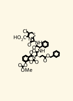 COC(=O)Oc1cccc2c(=O)n([C@@H](CCC(=O)OCc3ccccc3)C(=O)N[C@@H](C(=O)N[C@@H]3C(=O)N4C(C(=O)O)=C(Cl)CSC34)c3ccccc3)c(=O)oc12